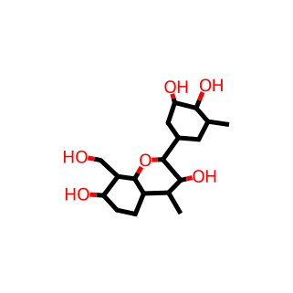 CC1CC(C2OC3C(CO)C(O)CCC3C(C)C2O)CC(O)C1O